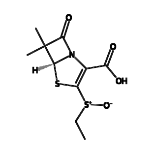 CC[S+]([O-])C1=C(C(=O)O)N2C(=O)C(C)(C)[C@@H]2S1